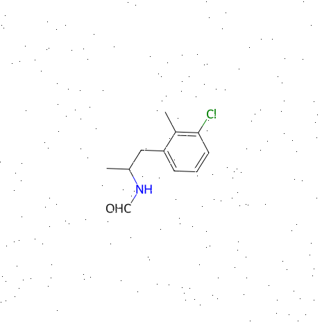 Cc1c(Cl)cccc1CC(C)NC=O